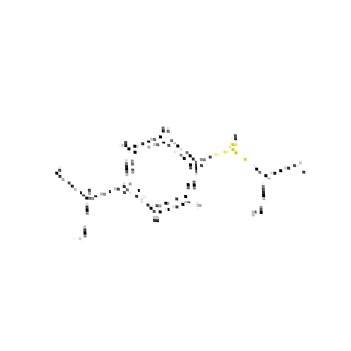 CC(C)Sc1ccc(C(C)C)cc1